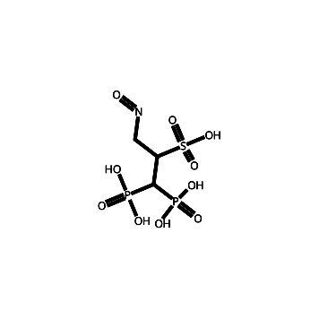 O=NCC(C(P(=O)(O)O)P(=O)(O)O)S(=O)(=O)O